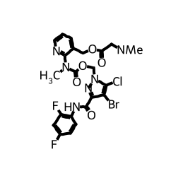 CNCC(=O)OCc1cccnc1N(C)C(=O)OCn1nc(C(=O)Nc2ccc(F)cc2F)c(Br)c1Cl